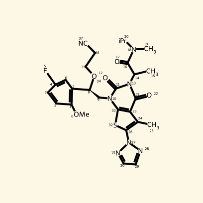 COc1ccc(F)cc1[C@H](Cn1c(=O)n(C(C)C(=O)N(C)C(C)C)c(=O)c2c(C)c(-n3nccn3)sc21)OCCC#N